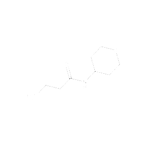 CCCC(=O)NC1CCOCC1